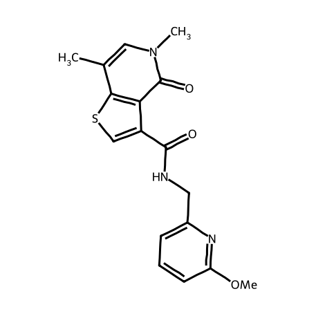 COc1cccc(CNC(=O)c2csc3c(C)cn(C)c(=O)c23)n1